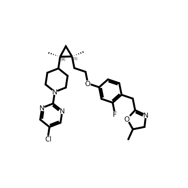 CC1CN=C(Cc2ccc(OCC[C@]3(C)C[C@]3(C)C3CCN(c4ncc(Cl)cn4)CC3)cc2F)O1